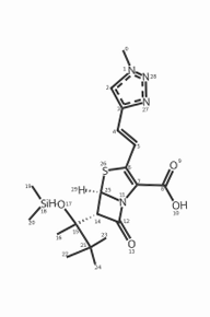 Cn1cc(/C=C/C2=C(C(=O)O)N3C(=O)[C@H](C(C)(O[SiH](C)C)C(C)(C)C)[C@H]3S2)nn1